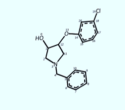 OC1CN(Cc2ccccc2)CC1Oc1cccc(Cl)c1